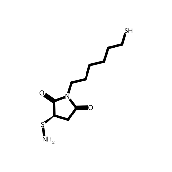 NS[C@@H]1CC(=O)N(CCCCCCS)C1=O